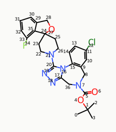 CC(C)(C)OC(=O)N1Cc2cc(Cl)ccc2-n2c(nnc2N2CCC3(CC2)OCc2cccc(F)c23)C1